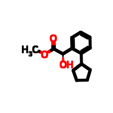 COC(=O)[C@@H](O)c1ccccc1C1CCCC1